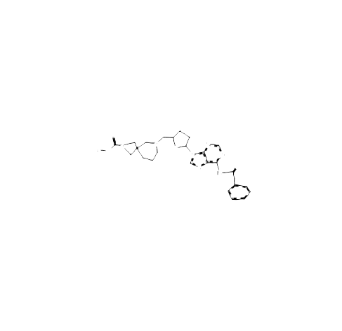 CC(C)(C)OC(=O)N1CC2(CCCN(CC3CCC(n4cnc5c(NC(=O)c6ccccc6)ncnc54)O3)C2)C1